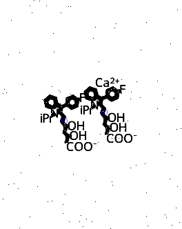 CC(C)n1c(/C=C/[C@H](O)C[C@H](O)CC(=O)[O-])c(-c2ccc(F)cc2)c2ccccc21.CC(C)n1c(/C=C/[C@H](O)C[C@H](O)CC(=O)[O-])c(-c2ccc(F)cc2)c2ccccc21.[Ca+2]